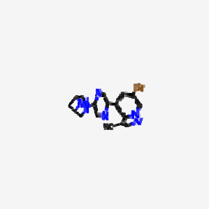 N#Cc1cnn2cc(Br)cc(-c3cnc(N4CC5CC(C4)N5)cn3)c12